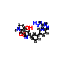 CN1CCC(O)(c2cc(-c3cccc(-c4ccc5nnc(N)n5c4)c3)no2)C1=O